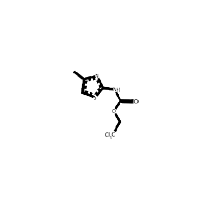 Cc1csc(NC(=O)OCC(Cl)(Cl)Cl)n1